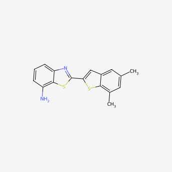 Cc1cc(C)c2sc(-c3nc4cccc(N)c4s3)cc2c1